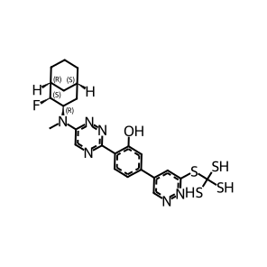 CN(c1cnc(-c2ccc(-c3cnnc(SC(S)(S)S)c3)cc2O)nn1)[C@@H]1C[C@H]2CCC[C@H](C2)[C@@H]1F